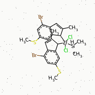 CSc1cc(Br)c2c(c1)[CH]([Zr]([Cl])([Cl])([CH]1C(C)=Cc3c(Br)cc(SC)cc31)[SiH](C)C)C(C)=C2